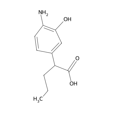 CCCC(C(=O)O)c1ccc(N)c(O)c1